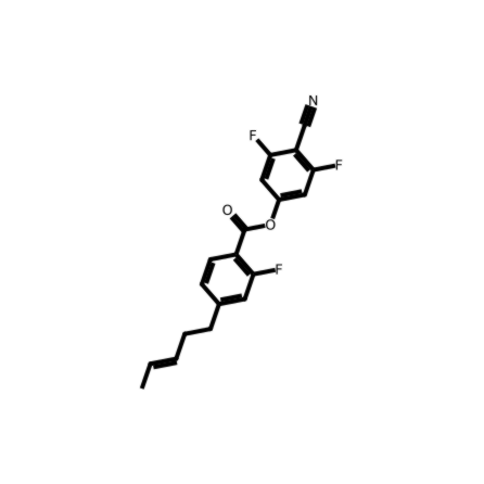 C/C=C/CCc1ccc(C(=O)Oc2cc(F)c(C#N)c(F)c2)c(F)c1